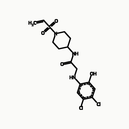 C=CS(=O)(=O)N1CCC(NC(=O)CNc2cc(Cl)c(Cl)cc2O)CC1